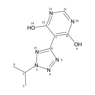 CC(C)n1nnc(-c2c(O)ncnc2O)n1